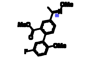 CO/N=C(\C)c1ccc(-c2cc(F)ccc2OC)c(C(=O)OC)c1